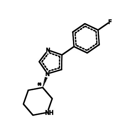 Fc1ccc(-c2cn([C@H]3CCCNC3)cn2)cc1